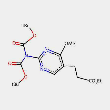 CCOC(=O)CCc1cnc(N(C(=O)OC(C)(C)C)C(=O)OC(C)(C)C)nc1OC